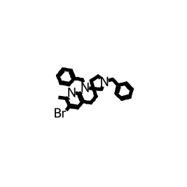 Cc1nc2c(cc1Br)CCC1(CCN(Cc3ccccc3)C1)N2Cc1ccccc1